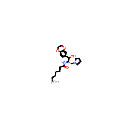 CCCCCCCCCCCCCCCC(=O)N[C@@H](CN1CCCC1)C(O)c1ccc2c(c1)OCCO2